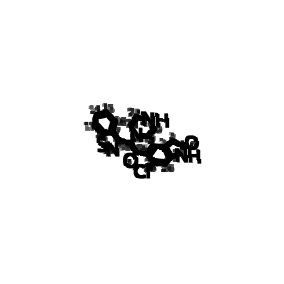 O=C1Cc2cc(C(=O)C(c3nsc4ccccc34)N3CCNCC3)c(Cl)cc2N1